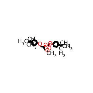 COCC(COc1ccc(C(C)(C)C)cc1)OC(=O)Oc1ccc(C(C)(C)C)cc1